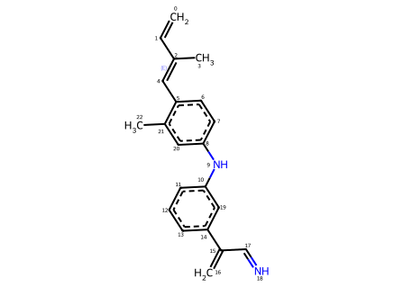 C=C/C(C)=C/c1ccc(Nc2cccc(C(=C)C=N)c2)cc1C